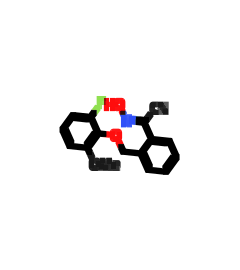 COc1cccc(F)c1OCc1ccccc1C(C#N)=NO